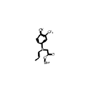 CC=CN(CC(=O)OC(C)(C)C)c1ccc(C#N)c(C(F)(F)F)c1